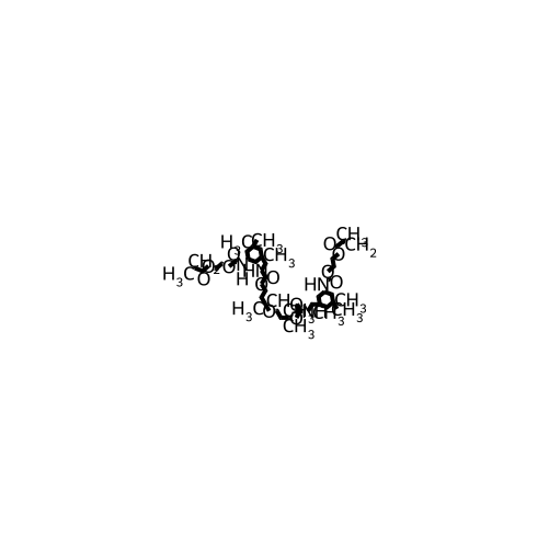 C=C(C)C(=O)OCCOC(=O)NC1CC(C)(C)CC(C)(CNC(=O)OCCC(C)(C)OCCC(C)(C)OC(=O)NCC2(C)CC(NC(=O)OCCOC(=O)C(=C)C)CC(C)(C)C2)C1